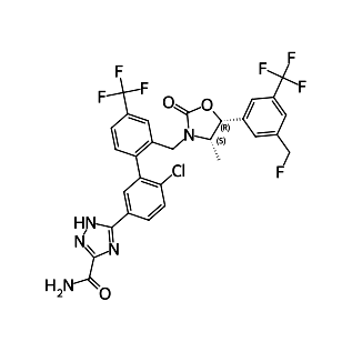 C[C@H]1[C@@H](c2cc(CF)cc(C(F)(F)F)c2)OC(=O)N1Cc1cc(C(F)(F)F)ccc1-c1cc(-c2nc(C(N)=O)n[nH]2)ccc1Cl